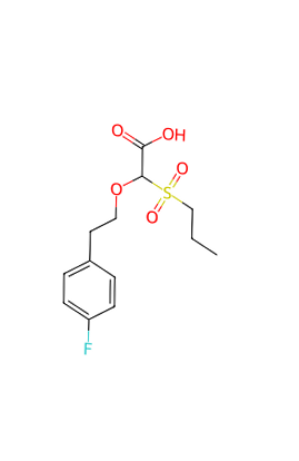 CCCS(=O)(=O)C(OCCc1ccc(F)cc1)C(=O)O